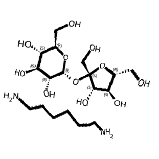 NCCCCCCN.OC[C@H]1O[C@@](CO)(O[C@H]2O[C@H](CO)[C@@H](O)[C@H](O)[C@H]2O)[C@@H](O)[C@@H]1O